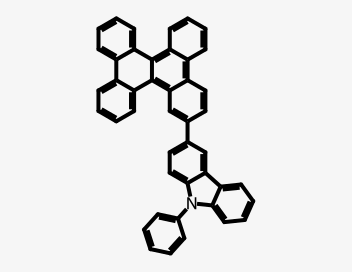 c1ccc(-n2c3ccccc3c3cc(-c4ccc5c6ccccc6c6c7ccccc7c7ccccc7c6c5c4)ccc32)cc1